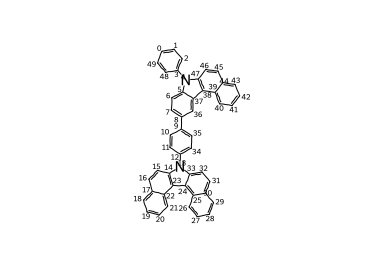 c1ccc(-n2c3ccc(-c4ccc(-n5c6ccc7ccccc7c6c6c7ccccc7ccc65)cc4)cc3c3c4ccccc4ccc32)cc1